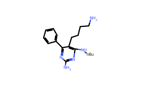 CCCCNc1nc(N)nc(-c2ccccc2)c1CCCCN